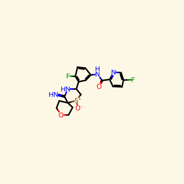 N=C1NC(c2cc(NC(=O)c3ccc(F)cn3)ccc2F)C[S+]([O-])C12CCOCC2